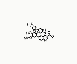 COc1cc(-c2ccc3ncc(C(=O)C4CC4)c(Nc4ccc(N5CCC(N)C5)nc4)c3c2)cc(Cl)c1O